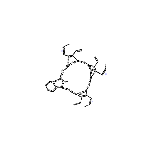 C=CC1=C(/C=C\C)c2nc1nc1[nH]c(nc3nc(nc4[nH]c(n2)c(/C=C\C)c4C=C)C(C=C)=C3/C=C\C)c2ccccc12